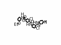 CCOc1cccc(NS(=O)(=O)c2ccc(C(=O)Nc3ccc(Cl)c(-c4nc5cc(N(C)C)ccc5[nH]4)c3)c(Cl)c2)c1